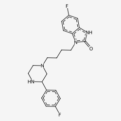 O=c1[nH]c2cc(F)ccc2n1CCCCN1CCNC(c2ccc(F)cc2)C1